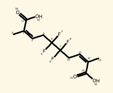 CC(=CCC(F)(F)C(F)(F)CC=C(C)C(=O)O)C(=O)O